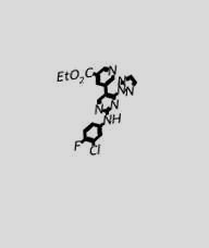 CCOC(=O)c1cncc(-c2cnc(Nc3ccc(F)c(Cl)c3)nc2-n2nccn2)c1